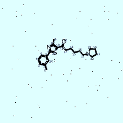 Cc1cccc(-c2nc(C)c(C(=O)CCCCCN3CCCC3)s2)c1